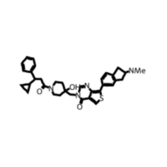 CNC1Cc2ccc(-c3scc4c(=O)n(CC5(O)CCN(C(=O)CC(c6ccccc6)C6CC6)CC5)cnc34)cc2C1